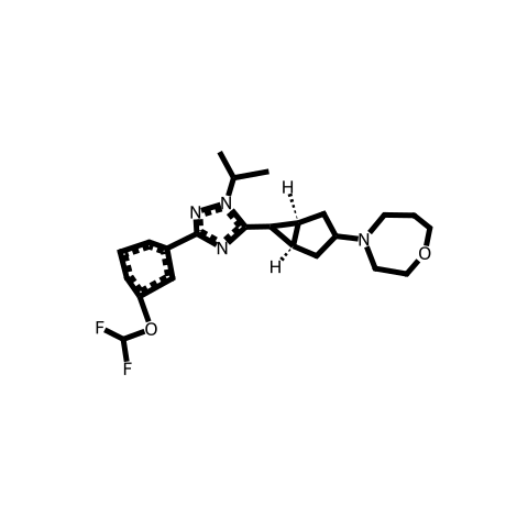 CC(C)n1nc(-c2cccc(OC(F)F)c2)nc1C1[C@H]2CC(N3CCCOCC3)C[C@@H]12